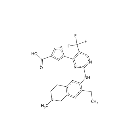 CCc1cc2c(cc1Nc1ncc(C(F)(F)F)c(-c3cc(C(=O)O)cs3)n1)CCN(C)C2